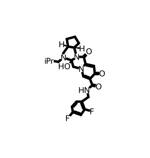 CC(C)CN1C[C@@H]2CCC[C@@H]2N2C(=O)c3cc(=O)c(C(=O)NCc4ccc(F)cc4F)cn3C[C@]12O